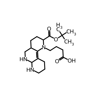 CC(C)(C)OC(=O)C1CCC2CNC3NCCCC3=C2N1CCCC(=O)O